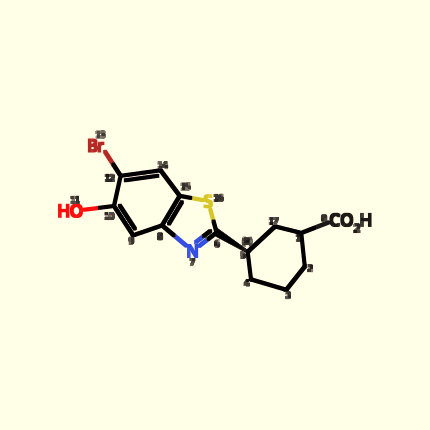 O=C(O)C1CCC[C@@H](c2nc3cc(O)c(Br)cc3s2)C1